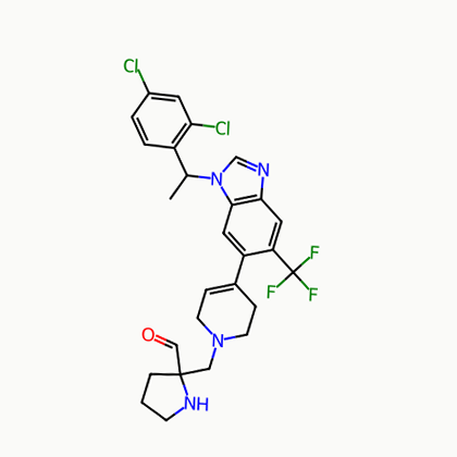 CC(c1ccc(Cl)cc1Cl)n1cnc2cc(C(F)(F)F)c(C3=CCN(CC4(C=O)CCCN4)CC3)cc21